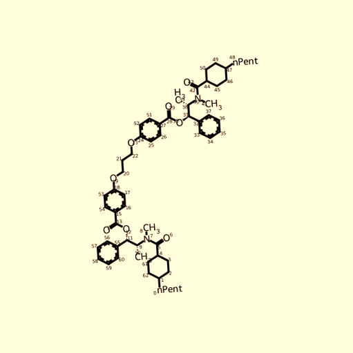 CCCCCC1CCC(C(=O)N(C)[C@H](C)[C@@H](OC(=O)c2ccc(OCCCOc3ccc(C(=O)O[C@H](c4ccccc4)[C@H](C)N(C)C(=O)C4CCC(CCCCC)CC4)cc3)cc2)c2ccccc2)CC1